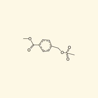 COC(=O)c1ccc(COS(C)(=O)=O)cc1